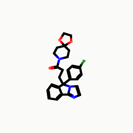 O=C(CCC1(c2ccc(Br)cc2)c2ccccc2-c2nccn21)N1CCC2(CC1)OCCO2